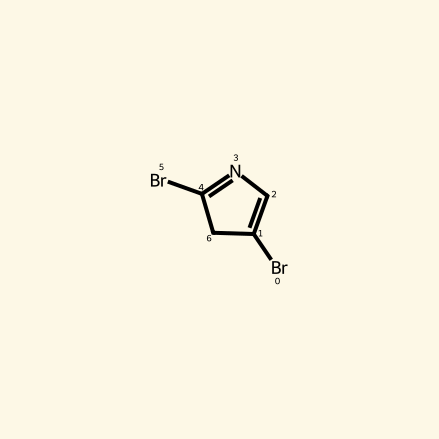 BrC1=CN=C(Br)C1